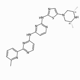 Cc1cccc(-c2nccc(Nc3ccnc(Nc4ncc(N5C[C@@H](C)N[C@@H](C)C5)s4)n3)n2)n1